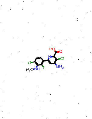 CNc1c(Cl)ccc(-c2cc(N)c(Cl)c(C(=O)O)n2)c1F